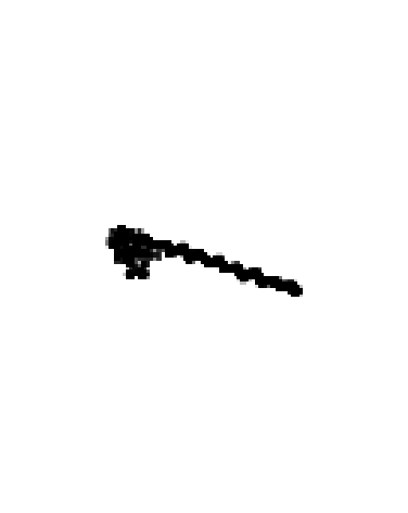 C=C/C=C/CCCCCCCCCCCCCCC(CCCC)C(O)(C[N+](C)(C)C)P(=O)(O)O